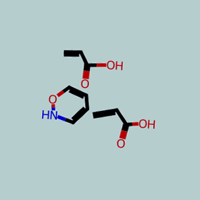 C1=CNOC=C1.C=CC(=O)O.C=CC(=O)O